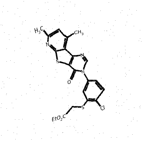 CCOC(=O)CSc1cc(-n2cnc3c(sc4nc(C)cc(C)c43)c2=O)ccc1Cl